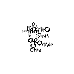 COc1ccc(C(OC[C@H]2O[C@@H](n3c(N=Nc4ccccc4)nc4c(=O)[nH]c(NCC(C)C)nc43)CC2O)(c2ccccc2)c2ccc(OC)cc2)cc1